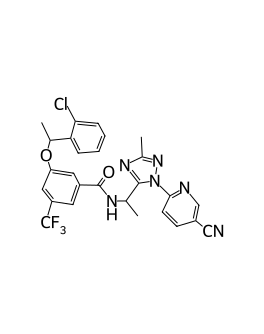 Cc1nc(C(C)NC(=O)c2cc(OC(C)c3ccccc3Cl)cc(C(F)(F)F)c2)n(-c2ccc(C#N)cn2)n1